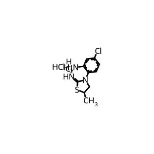 CC1CN(c2ccc(Cl)cc2N)C(=N)S1.Cl.Cl